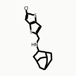 Clc1cc2sc(CNC3CC4CC5CCC3C(C5)C4)cc2s1